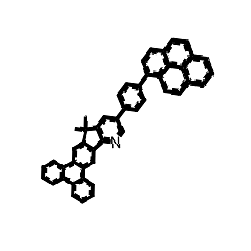 CC1(C)c2cc3c4ccccc4c4ccccc4c3cc2-c2ncc(-c3ccc(-c4ccc5ccc6cccc7ccc4c5c67)cc3)cc21